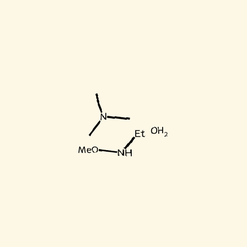 CCNOC.CN(C)C.O